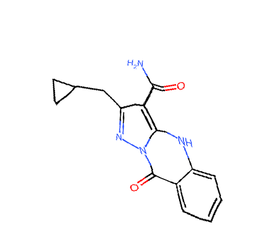 NC(=O)c1c(CC2CC2)nn2c(=O)c3ccccc3[nH]c12